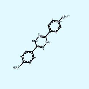 O=C(O)c1ccc(C2=NNC(c3ccc(C(=O)O)cc3)=NN2)cc1